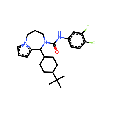 CC(C)(C)C1CCC(C2c3cccn3CCCN2C(=O)Nc2ccc(F)c(F)c2)CC1